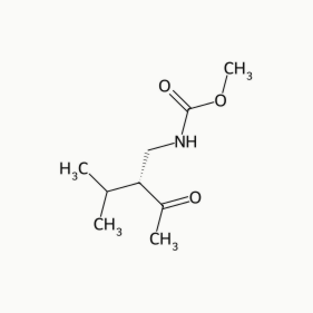 COC(=O)NC[C@H](C(C)=O)C(C)C